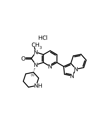 Cl.Cn1c(=O)n([C@H]2CCCNC2)c2nc(-c3cnn4ccccc34)ccc21